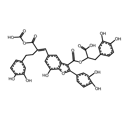 O=C(O)OC(=O)/C(=C/c1cc(O)c2oc(-c3ccc(O)c(O)c3)c(C(=O)OC(Cc3ccc(O)c(O)c3)C(=O)O)c2c1)CCc1ccc(O)c(O)c1